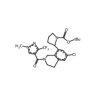 Cn1cc(C(=O)N2CCc3cc(Cl)cc(C4CCCN4C(=O)OC(C)(C)C)c3C2)c(C(F)(F)F)n1